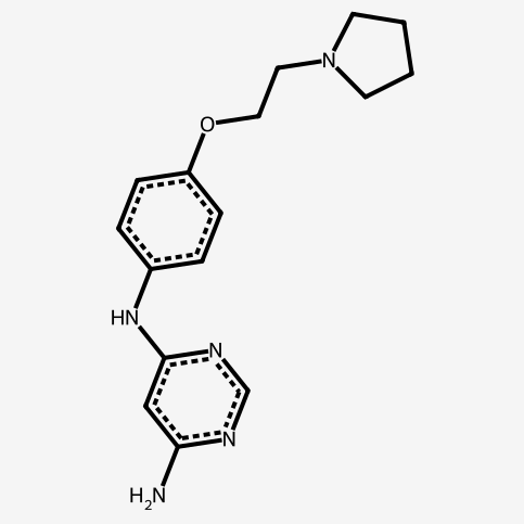 Nc1cc(Nc2ccc(OCCN3CCCC3)cc2)ncn1